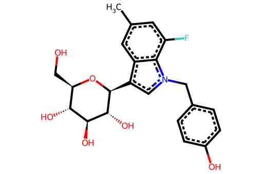 Cc1cc(F)c2c(c1)c([C@@H]1O[C@H](CO)[C@@H](O)[C@H](O)[C@H]1O)cn2Cc1ccc(O)cc1